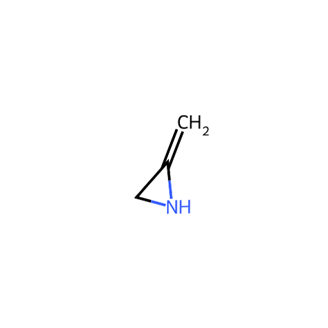 C=C1CN1